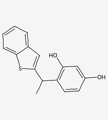 CC(c1cc2ccccc2s1)c1ccc(O)cc1O